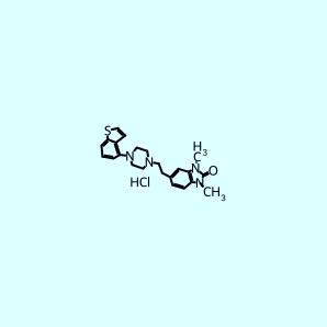 Cl.Cn1c(=O)n(C)c2cc(CCN3CCN(c4cccc5sccc45)CC3)ccc21